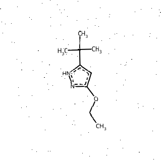 CCOc1cc(C(C)(C)C)[nH]n1